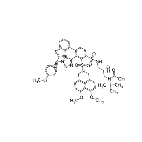 COc1ccc(CN(Cc2ccc(OC)cc2)S(=O)(=O)c2c(S(=O)(=O)NC[C@H](O)CN(C(=O)O)C(C)(C)C)ccc(-c3cccc4sc(C#N)nc34)c2-c2nnn(Cc3ccc(OC)cc3)n2)cc1